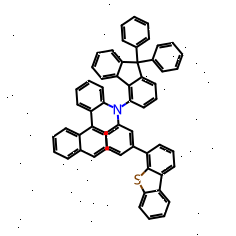 c1ccc(C2(c3ccccc3)c3ccccc3-c3c(N(c4cccc(-c5cccc6c5sc5ccccc56)c4)c4ccccc4-c4cccc5ccccc45)cccc32)cc1